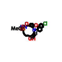 COC[C@@H]1CC/C=C/[C@H](O)[C@@H]2CC[C@H]2CN2C[C@@]3(CCCc4cc(Cl)ccc43)COc3ccc(cc32)C(=O)NS1(=O)=O